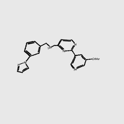 COc1cncc(-c2nccc(NCc3cccc(-n4cccn4)c3)n2)c1